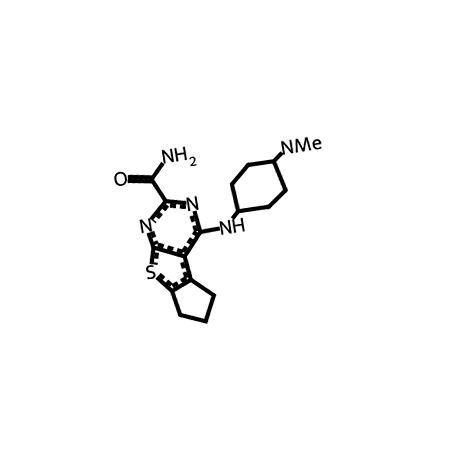 CNC1CCC(Nc2nc(C(N)=O)nc3sc4c(c23)CCC4)CC1